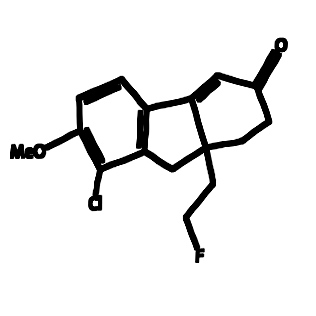 COc1ccc2c(c1Cl)CC1(CCF)CCC(=O)C=C21